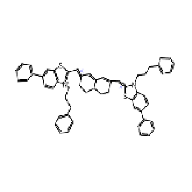 C1=C(/C=C2\Sc3cc(-c4ccccc4)ccc3N2CCCc2ccccc2)CCC2CC/C(=C\c3sc4cc(-c5ccccc5)ccc4[n+]3CCCc3ccccc3)C=C12